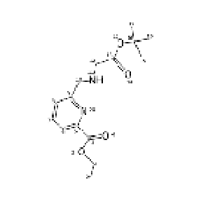 CCOC(=O)c1cccc(CNCC(=O)OC(C)(C)C)n1